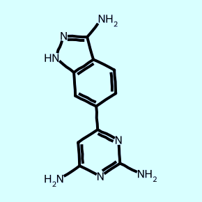 Nc1cc(-c2ccc3c(N)n[nH]c3c2)nc(N)n1